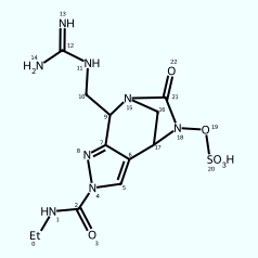 CCNC(=O)n1cc2c(n1)C(CNC(=N)N)N1CC2N(OS(=O)(=O)O)C1=O